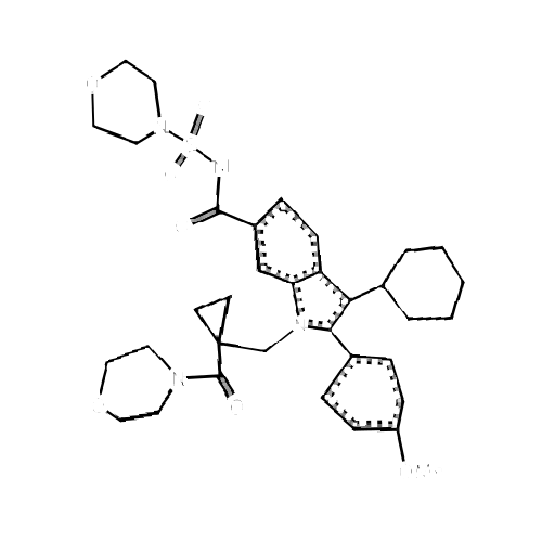 COc1ccc(-c2c(C3CCCCC3)c3ccc(C(=O)NS(=O)(=O)N4CCOCC4)cc3n2CC2(C(=O)N3CCOCC3)CC2)cc1